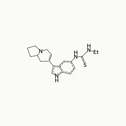 CCNC(=S)Nc1ccc2[nH]cc(C3=CCN4CCCC4C3)c2c1